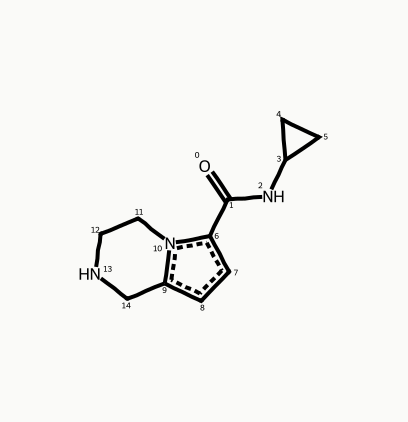 O=C(NC1CC1)c1ccc2n1CCNC2